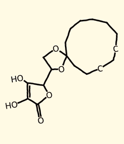 O=C1OC(C2COC3(CCCCCCCCCCC3)O2)C(O)=C1O